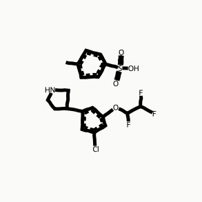 Cc1ccc(S(=O)(=O)O)cc1.FC(F)C(F)Oc1cc(Cl)cc(C2CCNC2)c1